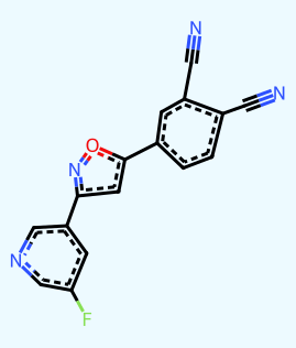 N#Cc1ccc(-c2cc(-c3cncc(F)c3)no2)cc1C#N